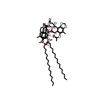 CCCCCCCCCCCCCCCC(=O)Oc1cc2c(cc1OC)[C@@]1(CS[C@@H]3c4c(OC(C)=O)c(C)c5c(c4[C@H](COC1=O)N1C3[C@H]3N[C@H](Cc4cc(C)c(OC)c(OC(=O)CCCCCCCCCCCCCCC)c43)[C@@H]1C#N)OCO5)NCC2